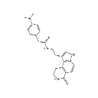 CN(C)c1ccc(CC(=O)NCCc2c[nH]c3ccc4c(c23)CCNC4=O)cc1